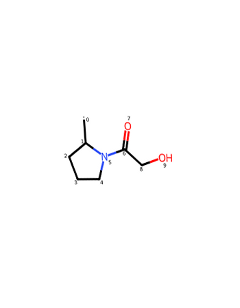 [CH2]C1CCCN1C(=O)CO